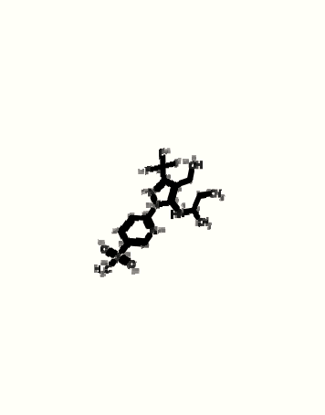 CCC(C)Nc1c(CO)c(C(F)(F)F)nn1-c1ccc(S(C)(=O)=O)cn1